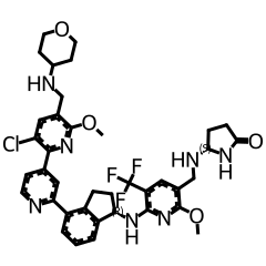 COc1nc(N[C@@H]2CCc3c(-c4cc(-c5nc(OC)c(CNC6CCOCC6)cc5Cl)ccn4)cccc32)c(C(F)(F)F)cc1CN[C@@H]1CCC(=O)N1